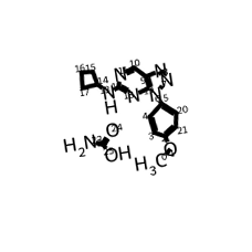 COc1ccc(-n2nnc3cnc(NC4CCC4)nc32)cc1.NC(=O)O